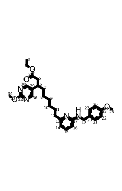 CCOC(=O)CC(CCCCCCc1cccc(NCc2ccc(OC)cc2)n1)c1cnc(OC)nc1